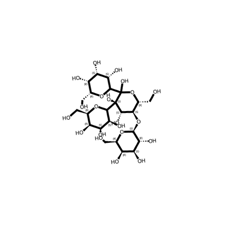 OC[C@H]1O[C@@H](O[C@@H]2[C@@H](CO)OC(O)(C3O[C@H](CO)[C@H](O)[C@H](O)[C@@H]3O)[C@@](O)(C3O[C@H](CO)[C@H](O)[C@H](O)[C@@H]3O)[C@H]2O)[C@H](O)[C@@H](O)[C@H]1O